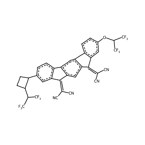 N#CC(C#N)=C1c2cc(OC(C(F)(F)F)C(F)(F)F)ccc2-c2cc3c(cc21)C(=C(C#N)C#N)c1cc(C2CCC2C(C(F)(F)F)C(F)(F)F)ccc1-3